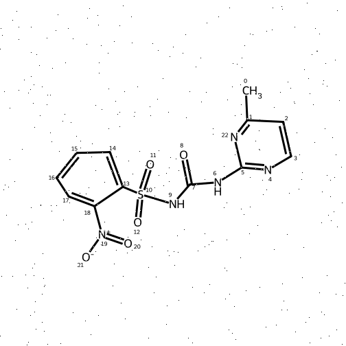 Cc1ccnc(NC(=O)NS(=O)(=O)c2ccccc2[N+](=O)[O-])n1